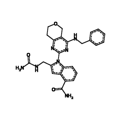 NC(=O)NCc1cc2c(C(N)=O)cccc2n1-c1nc2c(c(NCc3ccccc3)n1)COCC2